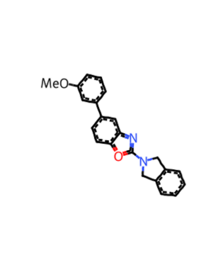 COc1cccc(-c2ccc3oc(N4Cc5ccccc5C4)nc3c2)c1